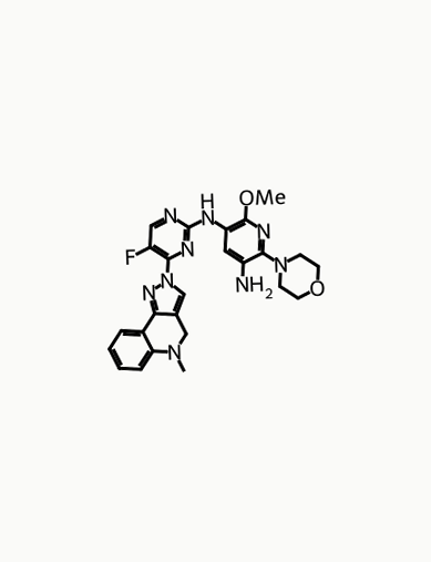 COc1nc(N2CCOCC2)c(N)cc1Nc1ncc(F)c(-n2cc3c(n2)-c2ccccc2N(C)C3)n1